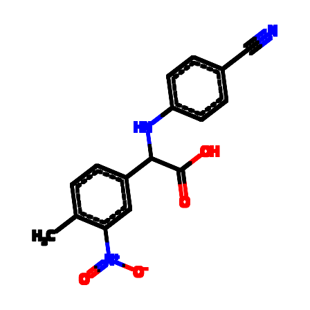 Cc1ccc(C(Nc2ccc(C#N)cc2)C(=O)O)cc1[N+](=O)[O-]